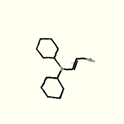 CCCC/C=C/B(C1CCCCC1)C1CCCCC1